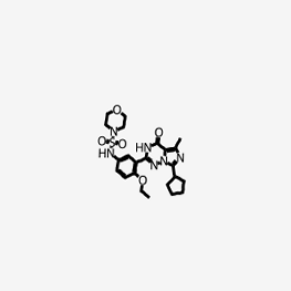 CCOc1ccc(NS(=O)(=O)N2CCOCC2)cc1-c1nn2c(C3CCCC3)nc(C)c2c(=O)[nH]1